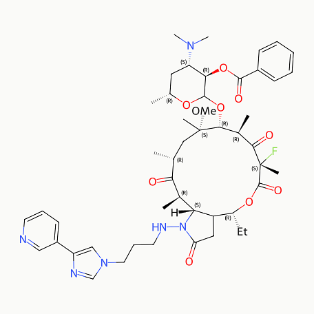 CC[C@H]1OC(=O)[C@@](C)(F)C(=O)[C@H](C)[C@@H](OC2O[C@H](C)C[C@H](N(C)C)[C@H]2OC(=O)c2ccccc2)[C@@](C)(OC)C[C@@H](C)C(=O)[C@H](C)[C@@H]2C1CC(=O)N2NCCCn1cnc(-c2cccnc2)c1